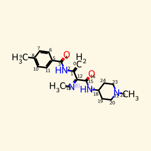 C=C(NC(=O)c1ccc(C)cc1)/C(=N\C)C(=O)NC1CCN(C)CC1